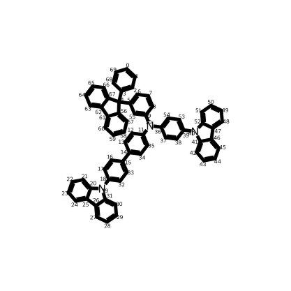 c1ccc(C2(c3cccc(N(c4ccc(-c5ccc(-n6c7ccccc7c7ccccc76)cc5)cc4)c4ccc(-n5c6ccccc6c6ccccc65)cc4)c3)c3ccccc3-c3ccccc32)cc1